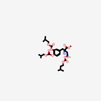 COC(=O)C(N)(Cc1ccc(OC(=O)OCC(C)C)c(OC(=O)OCC(C)C)c1)C[C@H](C)OC(=O)OCCC(C)C